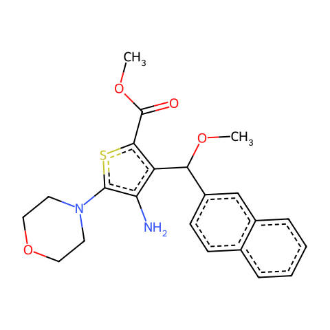 COC(=O)c1sc(N2CCOCC2)c(N)c1C(OC)c1ccc2ccccc2c1